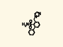 NS(=O)(=O)c1c(Cn2ccnc2)cccc1-c1ccccc1